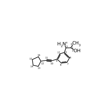 CC(O)C(N)c1cccc(C#CC2CCCC2)c1